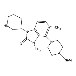 CNC1CCN(c2c(C)ccc3c2n(C)c(=O)n3C2CCCNC2)CC1